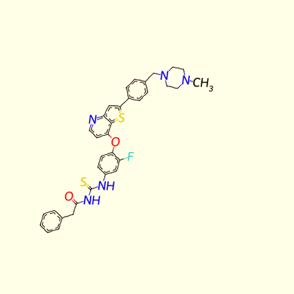 CN1CCN(Cc2ccc(-c3cc4nccc(Oc5ccc(NC(=S)NC(=O)Cc6ccccc6)cc5F)c4s3)cc2)CC1